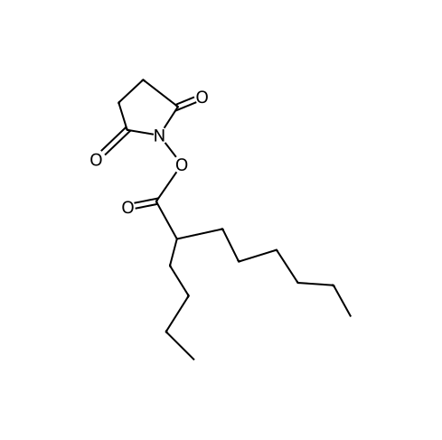 CCCCCCC(CCCC)C(=O)ON1C(=O)CCC1=O